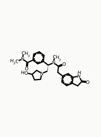 CN(C)C(=O)c1cccc([C@@H](CN2CCC(O)C2)N(C)C(=O)Cc2ccc3c(c2)NC(=O)C3)c1